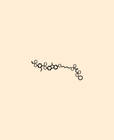 C=CC(=O)Oc1ccc(C(=O)Oc2ccc3c(c2)C(C)c2cc(OCCCCCCOC(=O)C(=C)CC(=O)OC4CCCCC4)ccc2-3)c(CC)c1